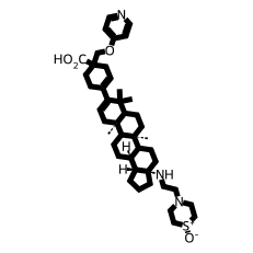 CC1(C)C(C2=CCC(COc3ccncc3)(C(=O)O)CC2)=CC[C@@]2(C)C1CC[C@@]1(C)C3CC[C@@]4(NCCN5CC[S+]([O-])CC5)CCC[C@@H]4[C@H]3CCC12